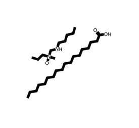 CCCCCCCCCCCCCCCCCC(=O)O.CCCCCNC[N+](C)([O-])CCC